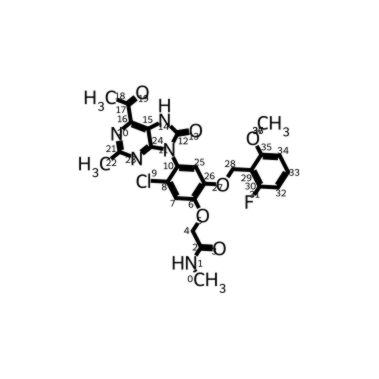 CNC(=O)COc1cc(Cl)c(-n2c(=O)[nH]c3c(C(C)=O)nc(C)nc32)cc1OCc1c(F)cccc1OC